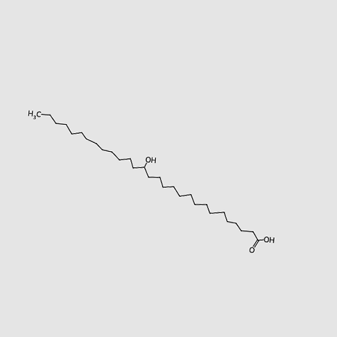 CCCCCCCCCCCCCC(O)CCCCCCCCCCCCCCC(=O)O